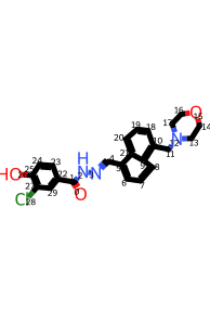 O=C(N/N=C/c1cccc2c(CN3CCOCC3)cccc12)c1ccc(O)c(Cl)c1